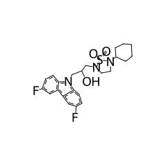 O=S1(=O)N(CC(O)Cn2c3ccc(F)cc3c3cc(F)ccc32)CCN1C1CCCCC1